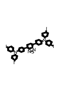 Ic1ccc(N(c2ccc(I)cc2)c2ccc(-c3ccc(-c4ccc(N(c5ccc(I)cc5)c5ccc(I)cc5)cc4)c4nsnc34)cc2)cc1